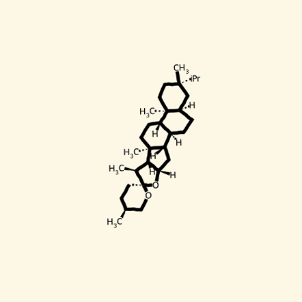 CC(C)[C@@]1(C)CC[C@@]2(C)[C@H](CC[C@@H]3[C@@H]2CC[C@]2(C)[C@@H]4[C@H](C[C@@H]32)O[C@]2(CC[C@H](C)CO2)[C@H]4C)C1